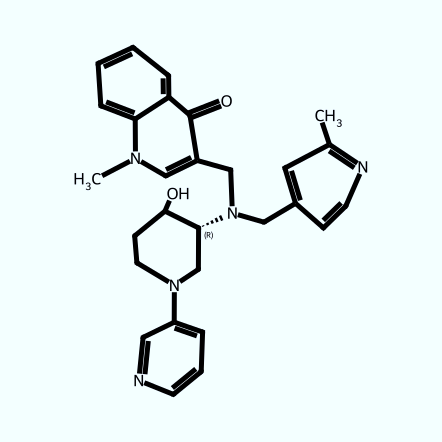 Cc1cc(CN(Cc2cn(C)c3ccccc3c2=O)[C@@H]2CN(c3cccnc3)CCC2O)ccn1